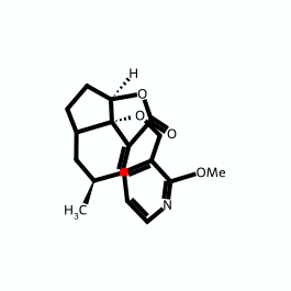 COc1ncccc1CO[C@]12C3=C[C@@H](C)CC1CC[C@H]2OC3=O